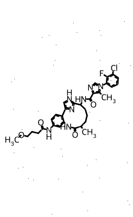 COCCCC(=O)Nc1ccc2c(c1)NC(=O)C(C)CCCC(NC(=O)c1ncn(-c3cccc(Cl)c3F)c1C)c1nc-2c[nH]1